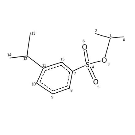 CC(C)OS(=O)(=O)c1cccc(C(C)C)c1